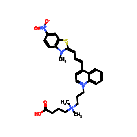 CN1/C(=C\C=C\c2cc[n+](CCC[N+](C)(C)CCCC(=O)O)c3ccccc23)Sc2cc([N+](=O)[O-])ccc21